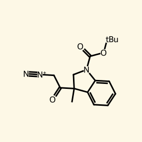 CC(C)(C)OC(=O)N1CC(C)(C(=O)C[N+]#N)c2ccccc21